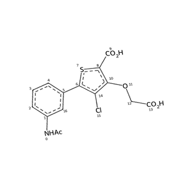 CC(=O)Nc1cccc(-c2sc(C(=O)O)c(OCC(=O)O)c2Cl)c1